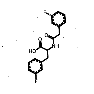 O=C(Cc1cccc(F)c1)NC(Cc1cccc(F)c1)C(=O)O